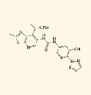 CO[C@@H](C)c1c(NC(=O)Nc2cnc(-n3nccn3)c(C#N)c2)cnc2sc(C)nc12